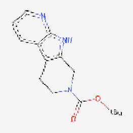 CC(C)(C)OC(=O)N1CCc2c([nH]c3ncccc23)C1